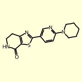 O=C1NCCc2nc(-c3ccc(N4CCCCC4)nc3)sc21